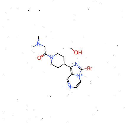 CN(C)CC(=O)N1CCC(C2=C3C=NC=C[N+]3(C)C(Br)=N2)CC1.CO